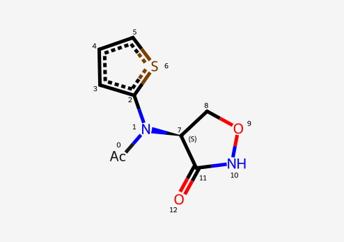 CC(=O)N(c1cccs1)[C@H]1CONC1=O